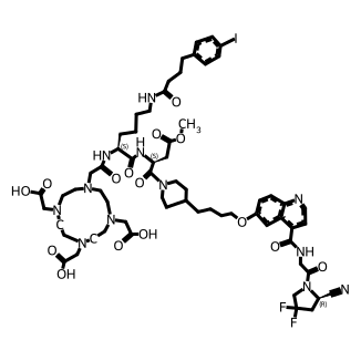 COC(=O)C[C@H](NC(=O)[C@H](CCCCNC(=O)CCCc1ccc(I)cc1)NC(=O)CN1CCN(CC(=O)O)CCN(CC(=O)O)CCN(CC(=O)O)CC1)C(=O)N1CCC(CCCCOc2ccc3nccc(C(=O)NCC(=O)N4CC(F)(F)C[C@@H]4C#N)c3c2)CC1